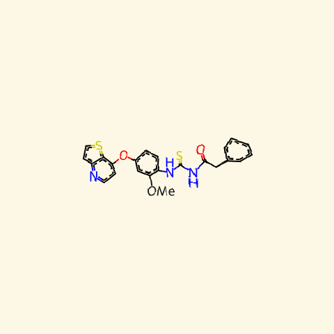 COc1cc(Oc2ccnc3ccsc23)ccc1NC(=S)NC(=O)Cc1ccccc1